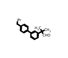 CC(C)Cc1ccc(-c2cccc(C(C)(C)C=O)c2)cc1